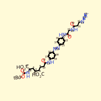 CC(C)(C)OC(=O)N[C@@H](C[C@H](CCCC(=O)Nc1ccc(/N=N/c2ccc(NC(=O)CNC(=O)CCN=[N+]=[N-])cc2)cc1)C(=O)O)C(=O)O